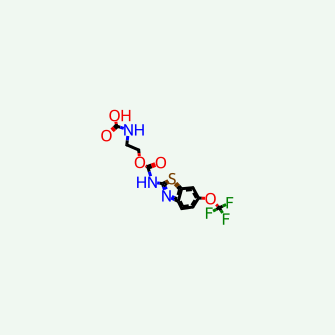 O=C(O)NCCOC(=O)Nc1nc2ccc(OC(F)(F)F)cc2s1